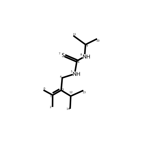 CC(C)=C(CNC(=S)NC(C)C)C(C)C